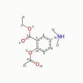 CCOC(=O)c1ccccc1OC(C)=O.CNC